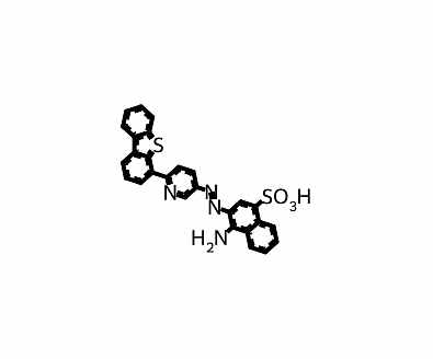 Nc1c(/N=N/c2ccc(-c3cccc4c3sc3ccccc34)nc2)cc(S(=O)(=O)O)c2ccccc12